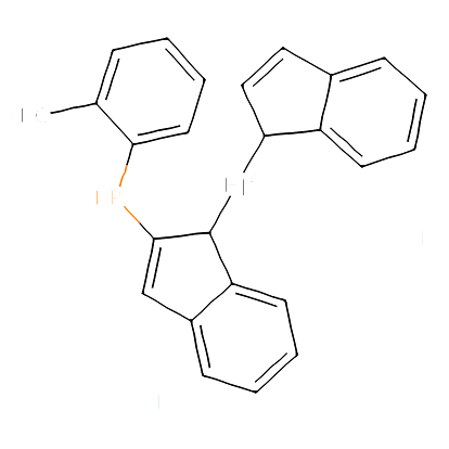 Cc1ccccc1PC1=Cc2ccccc2[CH]1[Hf+2][CH]1C=Cc2ccccc21.[F-].[F-]